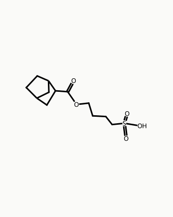 O=C(OCCCCS(=O)(=O)O)C1CC2CCC1C2